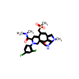 CN(C)C(=O)C1C=C2C(CS(C)(=O)=O)=Cc3cn(C)c4c3C(=O)C2(CN4)CN1c1ccc(F)cc1F